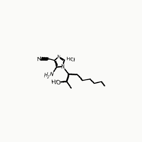 CCCCCCC(C(C)O)n1cnc(C#N)c1N.Cl